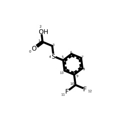 O=C(O)CSc1cccc(C(F)F)c1